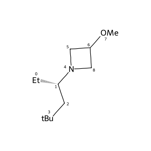 CC[C@@H](CC(C)(C)C)N1CC(OC)C1